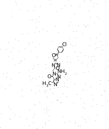 Cc1ncn2nc(N)n(Cc3nc([C@@H]4CO[C@@H](c5ccc(Cl)cc5)C4)no3)c(=O)c12